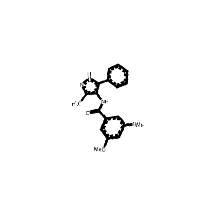 COc1cc(OC)cc(C(=O)Nc2c(C)n[nH]c2-c2ccccc2)c1